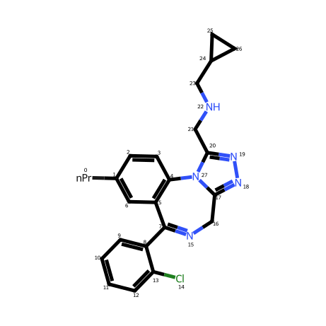 CCCc1ccc2c(c1)C(c1ccccc1Cl)=NCc1nnc(CNCC3CC3)n1-2